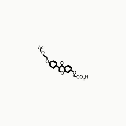 CC(=O)COCCOc1ccc(-c2coc3cc(OCC(=O)O)ccc3c2=O)cc1